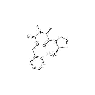 C[C@@H](C(=O)N1CSC[C@H]1C(=O)O)N(C)C(=O)OCc1ccccc1